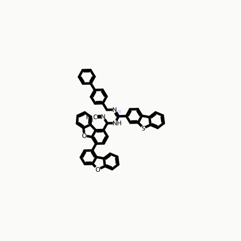 C=NC(N/C(=N\Cc1ccc(-c2ccccc2)cc1)c1ccc2c(c1)sc1ccccc12)c1ccc(-c2cccc3oc4ccccc4c23)c2oc3ccccc3c12